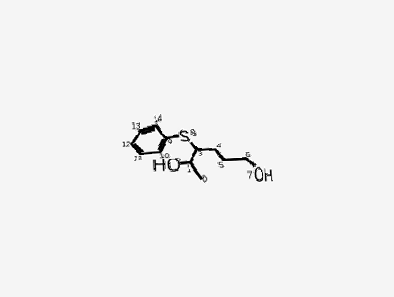 CC(O)C(CCCO)Sc1ccccc1